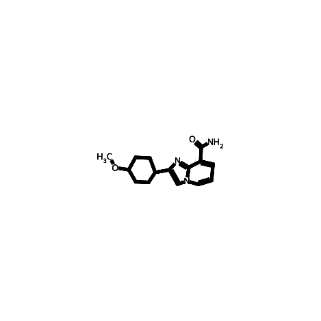 COC1CCC(c2cn3cccc(C(N)=O)c3n2)CC1